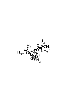 CC[C@H](C)O[C@H](COCOC(=O)[C@@H](N)C(C)C)CN(C)S(C)(=O)=O